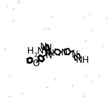 Nc1ncnc2c1c(-c1ccc(Oc3ccccc3)cc1)nn2C1CCC(N2CCC(CN3CCNCC3)CC2)CC1